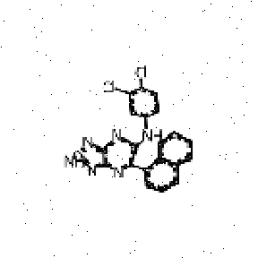 Clc1ccc(Nc2nc3nonc3nc2-c2cccc3ccccc23)cc1Cl.N